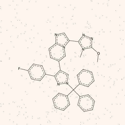 COc1nnc(-c2cnc3ccc(-c4cn(C(c5ccccc5)(c5ccccc5)c5ccccc5)nc4-c4ccc(F)cc4)cn23)n1C